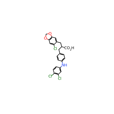 O=C(O)C(Cc1ccc(Nc2ccc(Cl)c(Cl)c2)cc1)Cc1cc2c(cc1Cl)OCO2